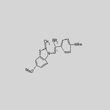 C=C1Sc2cc(OC)ccc2N1/C=C(\N)c1ccc(NC)cc1